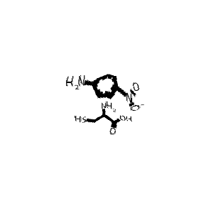 NC(CS)C(=O)O.Nc1ccc([N+](=O)[O-])cc1